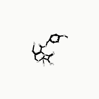 COc1ccc(COC(=O)C2=C(CCl)CS[C@H]3C(N)C(=O)N23)cc1